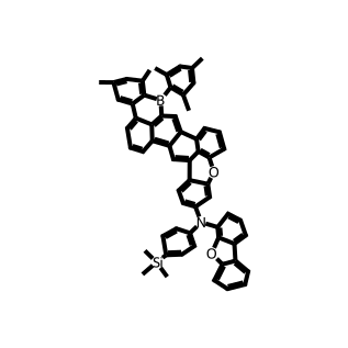 Cc1cc(C)c(B2c3c(C)cc(C)cc3-c3cccc4c3c2cc2c3cccc5c3c(cc42)-c2ccc(N(c3ccc([Si](C)(C)C)cc3)c3cccc4c3oc3ccccc34)cc2O5)c(C)c1